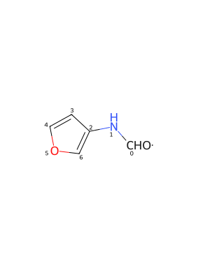 O=[C]Nc1ccoc1